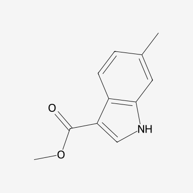 COC(=O)c1c[nH]c2cc(C)ccc12